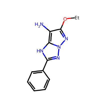 CCOc1nn2nc(-c3ccccc3)[nH]c2c1N